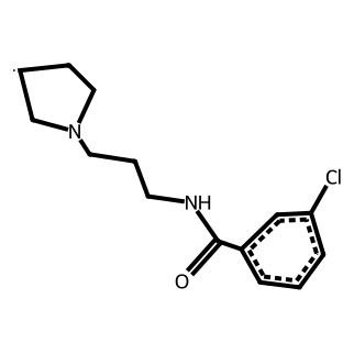 O=C(NCCCN1C[CH]CC1)c1cccc(Cl)c1